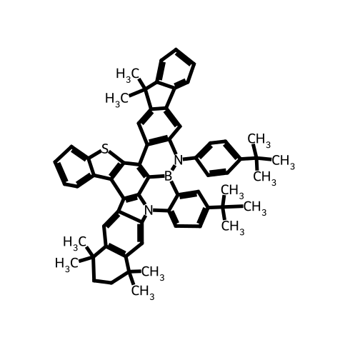 CC(C)(C)c1ccc(N2B3c4cc(C(C)(C)C)ccc4-n4c5cc6c(cc5c5c7c(sc8ccccc87)c(c3c54)-c3cc4c(cc32)-c2ccccc2C4(C)C)C(C)(C)CCC6(C)C)cc1